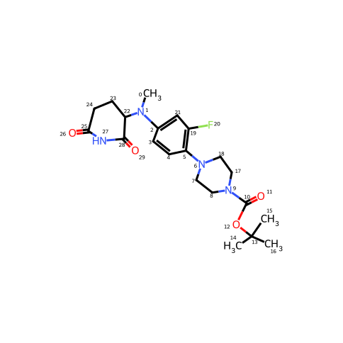 CN(c1ccc(N2CCN(C(=O)OC(C)(C)C)CC2)c(F)c1)C1CCC(=O)NC1=O